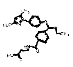 CCCC(Oc1ccc(-n2nc(C)cc2C)cc1)c1ccc(C(=O)NCCC(=O)O)cc1